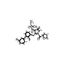 CS(=O)(=O)N[C@@H]1[C@H](Cc2cccc(-c3cccc(F)c3)c2F)N(C(=O)[C@H]2CCCO2)CC1(F)F